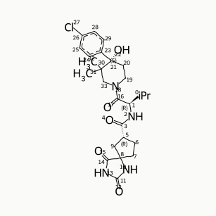 CC(C)[C@@H](NC(=O)[C@@H]1CCC2(C1)NC(=O)NC2=O)C(=O)N1CC[C@](O)(c2ccc(Cl)cc2)C(C)(C)C1